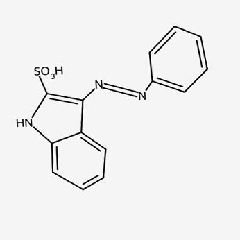 O=S(=O)(O)c1[nH]c2ccccc2c1N=Nc1ccccc1